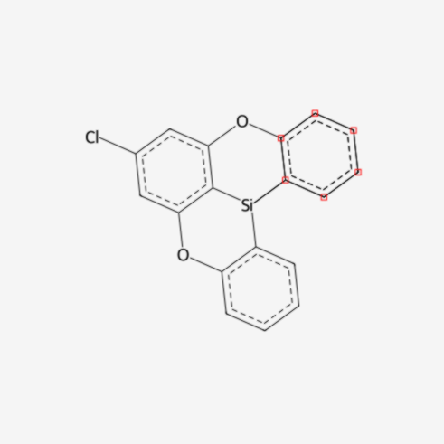 Clc1cc2c3c(c1)Oc1ccccc1[Si]3(c1ccccc1)c1ccccc1O2